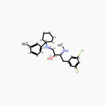 CCCNC(Cc1cc(F)cc(F)c1)C(O)CNC1(c2cccc(C(C)(C)C)c2)CCCCC1